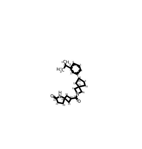 CC(C)c1cccc([C@@H]2CCC3(C2)CN(C(=O)C2CC4(CCC(=O)N4)C2)C3)c1